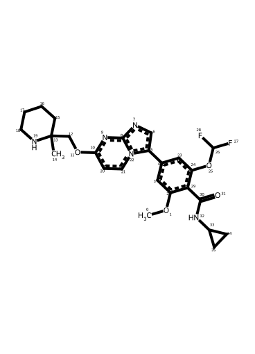 COc1cc(-c2cnc3nc(OCC4(C)CCCCN4)ccn23)cc(OC(F)F)c1C(=O)NC1CC1